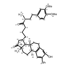 CCCc1cc2c(cc1O)CC[C@H]1[C@@H]3[C@H](CCCC(=O)N(C)CCc4ccc(OC)c(OC)c4)CC(=O)[C@@]3(C)CC[C@H]21